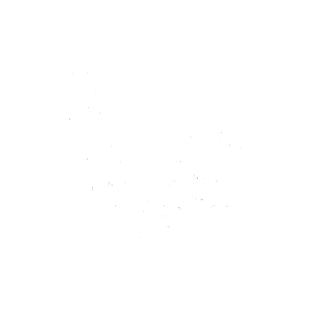 c1ccc(-c2ccc(-c3ccc(N(c4ccccc4)c4cccc(-c5ccccc5-c5ccc6c(c5)c5ccccc5n6-c5cccc6sc7ccccc7c56)c4)cc3)cc2)cc1